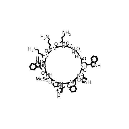 CSSC1NC(=O)[C@H](Cc2c[nH]c3ccccc23)NC(=O)[C@H](CCCCN)NC(=O)[C@H](CCCCN)NC(=O)[C@H](CCCCN)NC(=O)[C@H](C)NC(=O)[C@H](C)NC(=O)[C@H](CCc2c[nH]c3ccccc23)NC(=O)[C@H](Cc2c[nH]cn2)NC(=O)[C@@H](Cc2ccccc2)NC(=O)[C@H](Cc2c[nH]cn2)N[C@@H]2CCCN2C1=O